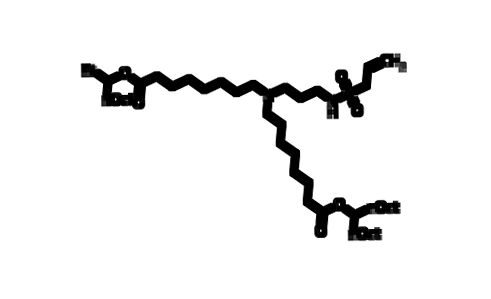 C=CCS(=O)(=O)NCCCN(CCCCCCCC(=O)OC(CC)CCCCCCCC)CCCCCCCC(=O)OC(CCCCCCCC)CCCCCCCC